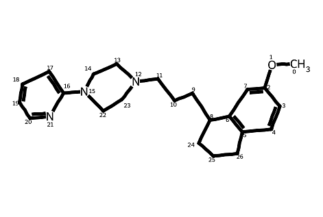 COc1ccc2c(c1)C(CCCN1CCN(c3ccccn3)CC1)CCC2